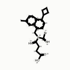 Cc1ccc2c(C3CCC3)ccc(CN(C(=N)Br)C(=N)CCC(=O)O)c2c1